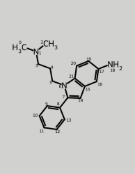 CN(C)CCCn1c(-c2ccccc2)cc2cc(N)ccc21